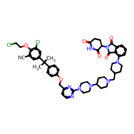 CC(C)(c1ccc(OCc2ccnc(N3CCN(C4CCN(CC5CCN(c6cccc7c6C(=O)N(C6CCC(=O)NC6=O)C7=O)CC5)CC4)CC3)n2)cc1)c1cc(Cl)c(OCCCl)c(C#N)c1